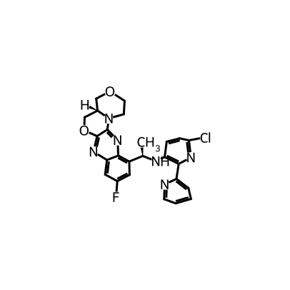 C[C@@H](Nc1ccc(Cl)nc1-c1ccccn1)c1cc(F)cc2nc3c(nc12)N1CCOC[C@H]1CO3